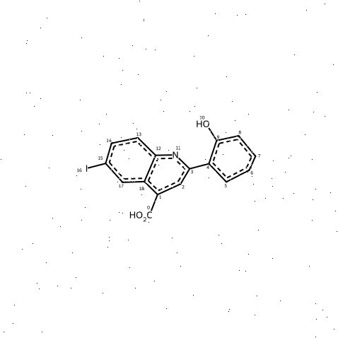 O=C(O)c1cc(-c2ccccc2O)nc2ccc(I)cc12